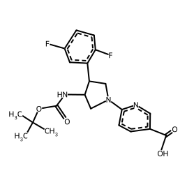 CC(C)(C)OC(=O)NC1CN(c2ccc(C(=O)O)cn2)CC1c1cc(F)ccc1F